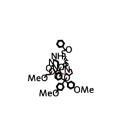 COCCO[C@@]1(n2ccc(N)nc2=O)CO[C@H](COC(c2ccccc2)(c2ccc(OC)cc2)c2ccc(OC)cc2)[C@@H]1OP(SCCSC(=O)c1ccccc1)N1CCCC1